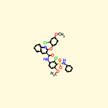 COc1ccc(Oc2nc3ccccc3cc2C(=O)Nc2ccc(OC)c(S(=O)(=O)Nc3ccccc3)c2Cl)c(Cl)c1